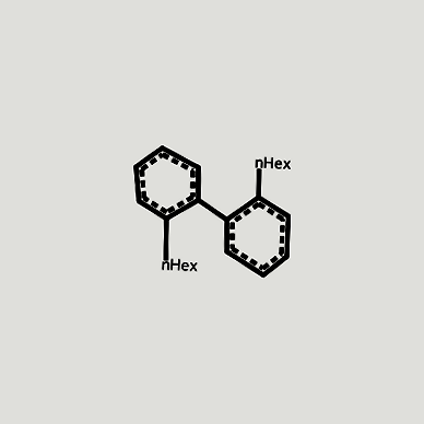 CCCCCCc1ccccc1-c1ccccc1CCCCCC